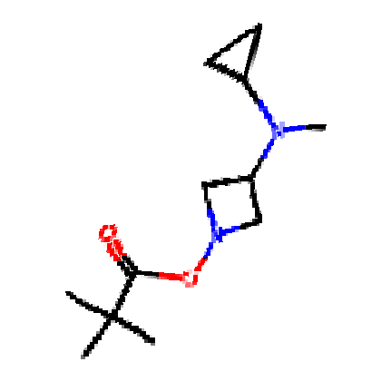 CN(C1CC1)C1CN(OC(=O)C(C)(C)C)C1